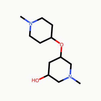 CN1CCC(OC2CC(O)CN(C)C2)CC1